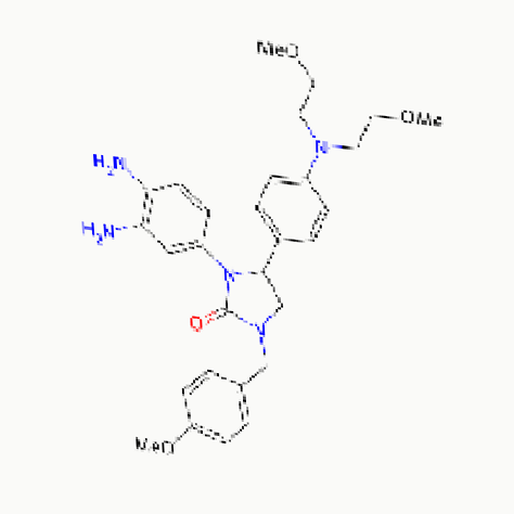 COCCN(CCOC)c1ccc(C2CN(Cc3ccc(OC)cc3)C(=O)N2c2ccc(N)c(N)c2)cc1